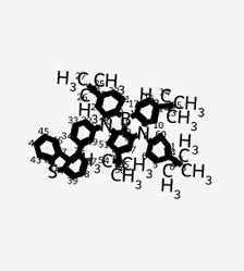 CC(C)(C)c1ccc(N2c3cc(C(C)(C)C)ccc3B3c4ccc(C(C)(C)C)cc4N(c4cccc(-c5cccc6sc7ccccc7c56)c4)c4cc(C(C)(C)C)cc2c43)cc1